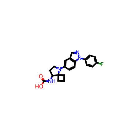 O=C(O)NC1CCN(c2ccc3c(cnn3-c3ccc(F)cc3)c2)C12CCC2